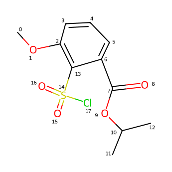 COc1cccc(C(=O)OC(C)C)c1S(=O)(=O)Cl